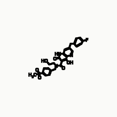 CS(=O)(=O)c1ccc(CN(CCO)C(=O)c2c(O)c3ncc(Cc4ccc(F)cc4)cc3[nH]c2=O)cc1